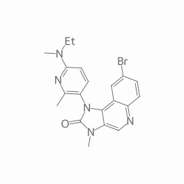 CCN(C)c1ccc(-n2c(=O)n(C)c3cnc4ccc(Br)cc4c32)c(C)n1